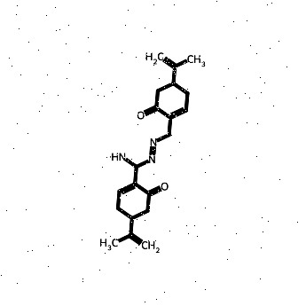 C=C(C)C1CC=C(CN=NC([NH])C2=CCC(C(=C)C)CC2=O)C(=O)C1